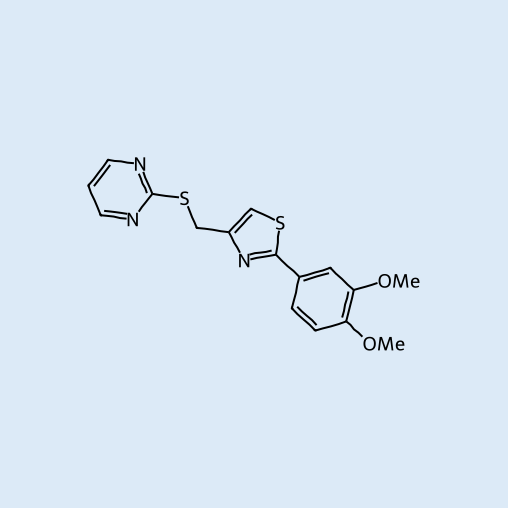 COc1ccc(-c2nc(CSc3ncccn3)cs2)cc1OC